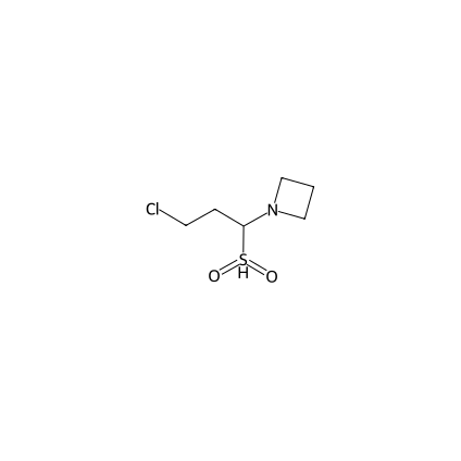 O=[SH](=O)C(CCCl)N1CCC1